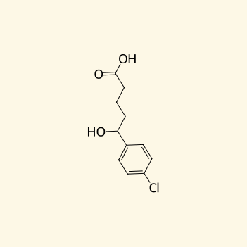 O=C(O)CCCC(O)c1ccc(Cl)cc1